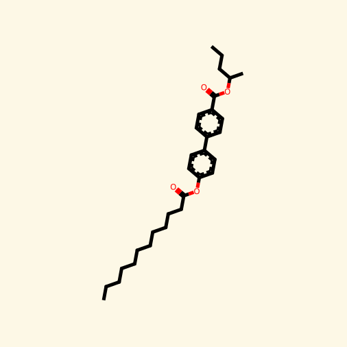 CCCCCCCCCCCC(=O)Oc1ccc(-c2ccc(C(=O)OC(C)CCC)cc2)cc1